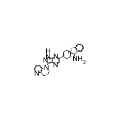 NC1c2ccccc2C[C@]12CC=C(c1cnc3c(N4CCCc5ncccc54)n[nH]c3n1)CC2